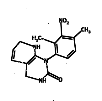 Cc1ccc(N2C(=O)NCC3=C2NCC=C3)c(C)c1[N+](=O)[O-]